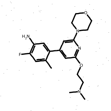 Cc1cc(F)c(N)cc1-c1cc(OCCN(C)C)nc(N2CCOCC2)c1